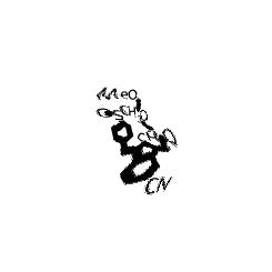 COCCOCCOC(=O)CC1=C(C)C(=Cc2ccc([S+](C)[O-])cc2)c2ccc(C#N)cc21